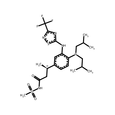 CC(C)CN(CC(C)C)c1ccc([C@H](C)CC(=O)NS(C)(=O)=O)cc1Nc1nc(C(F)(F)F)ns1